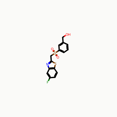 O=S(=O)(Cc1nc2cc(F)ccc2s1)c1cccc(CO)c1